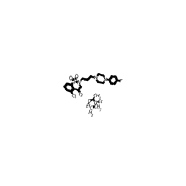 C=C.CCOC(C)OCC.O=C1CN(CCCN2CCN(c3ccc(F)cc3)CC2)S(=O)(=O)c2cccc(Cl)c21